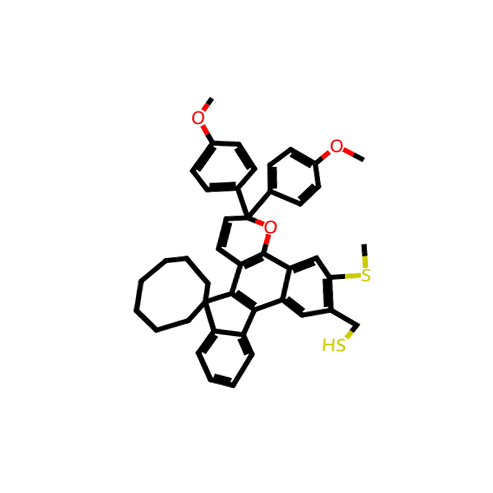 COc1ccc(C2(c3ccc(OC)cc3)C=Cc3c4c(c5cc(CS)c(SC)cc5c3O2)-c2ccccc2C42CCCCCCC2)cc1